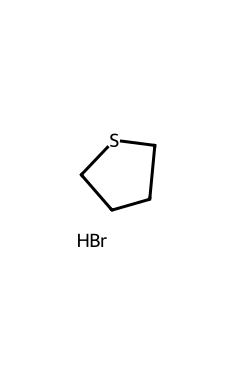 Br.C1CCSC1